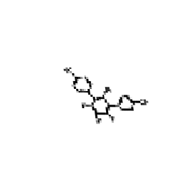 CC(C)c1c(F)c(-c2ccc(C#N)cc2)c(C(C)C)c(-c2ccc(C#N)cc2)c1F